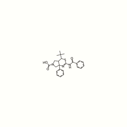 CC(C)(C)C1SC(NC(=O)c2ccccc2)=NC2(c3ccccc3)CN(C(=O)O)CC12